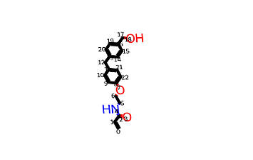 C=CC(=O)NCCOc1ccc(Cc2ccc(CO)cc2)cc1